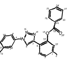 Cc1ccc(-c2cn(-c3cccc(Br)c3)nn2)c(OC(=O)c2ccccc2)c1